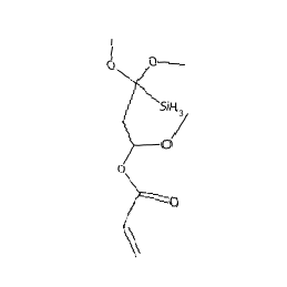 C=CC(=O)OC(CC([SiH3])(OC)OC)OC